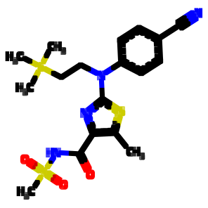 Cc1sc(N(CCS(C)(C)C)c2ccc(C#N)cc2)nc1C(=O)NS(C)(=O)=O